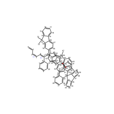 C=C/C=C\C=C(/c1ccccc1)N(c1ccc(-c2cccc3c2Sc2ccccc2C32c3ccccc3-c3cccc(-c4ccc(N(C)c5ccccc5-c5ccccc5)cc4)c32)cc1)c1ccc2c(c1)C(C)(C)c1ccccc1-2